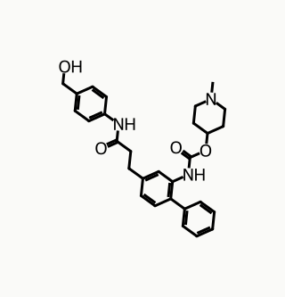 CN1CCC(OC(=O)Nc2cc(CCC(=O)Nc3ccc(CO)cc3)ccc2-c2ccccc2)CC1